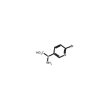 NN(C(=O)O)c1ccc(Br)nc1